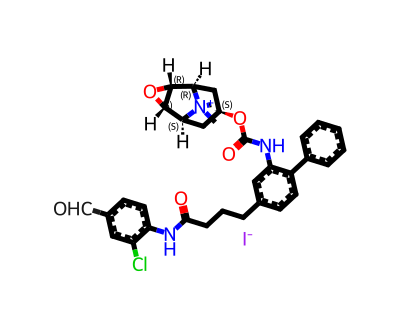 C[N+]1(C)[C@@H]2C[C@@H](OC(=O)Nc3cc(CCCC(=O)Nc4ccc(C=O)cc4Cl)ccc3-c3ccccc3)C[C@H]1[C@@H]1O[C@@H]12.[I-]